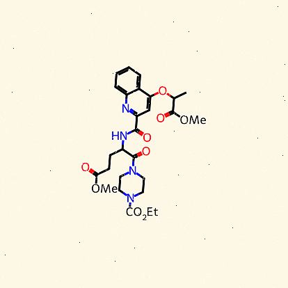 CCOC(=O)N1CCN(C(=O)C(CCC(=O)OC)NC(=O)c2cc(OC(C)C(=O)OC)c3ccccc3n2)CC1